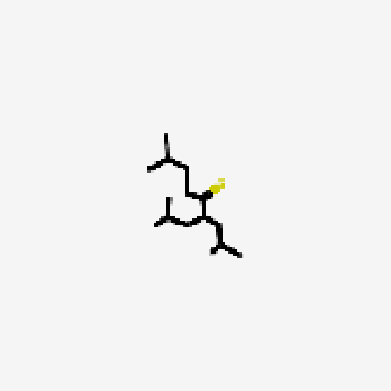 CC(C)CCC(=S)C(CC(C)C)CC(C)C